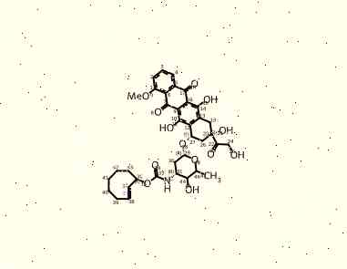 COc1cccc2c1C(=O)c1c(O)c3c(c(O)c1C2=O)C[C@@](O)(C(=O)CO)C[C@@H]3O[C@H]1C[C@@H](NC(=O)O[C@H]2/C=C/CCCCC2)C(O)C(C)O1